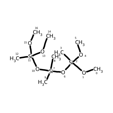 CO[Si](C)(OC)O[Si](C)(C)O[Si](C)(OC)OC